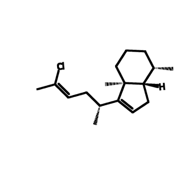 CC(Cl)=CC[C@@H](C)C1=CC[C@H]2[C@@H](C)CCC[C@]12C